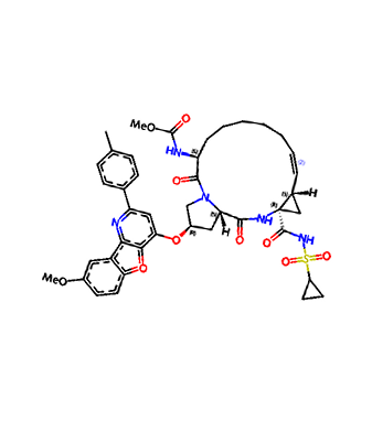 COC(=O)N[C@H]1CCCCC/C=C\[C@@H]2C[C@@]2(C(=O)NS(=O)(=O)C2CC2)NC(=O)[C@@H]2C[C@@H](Oc3cc(-c4ccc(C)cc4)nc4c3oc3ccc(OC)cc34)CN2C1=O